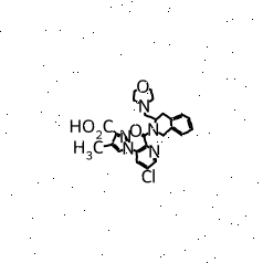 Cc1cn(-c2cc(Cl)cnc2C(=O)N2Cc3ccccc3CC2CN2CCOCC2)nc1C(=O)O